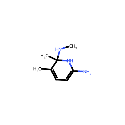 CNC1(C)NC(N)=CC=C1C